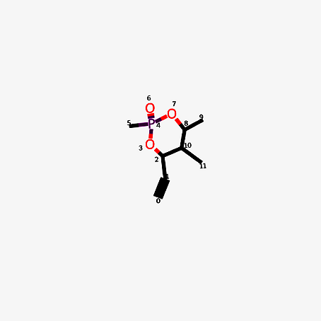 C#CC1OP(C)(=O)OC(C)C1C